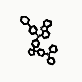 c1ccc(N(c2ccccc2)c2ccc(C3(c4ccc(N(c5ccc(C6CCCCC6)cc5)c5cccc6c5sc5ccccc56)cc4)CCCC3)cc2)cc1